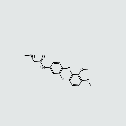 CNCC(=O)Nc1ccc(Oc2cccc(OC)c2OC)c(F)c1